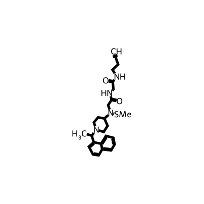 C#CCCNC(=O)CNC(=O)CN(SC)C1CCN(C(C)c2cccc3ccccc23)CC1